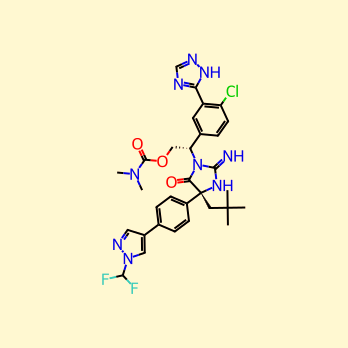 CN(C)C(=O)OC[C@H](c1ccc(Cl)c(-c2ncn[nH]2)c1)N1C(=N)N[C@](CC(C)(C)C)(c2ccc(-c3cnn(C(F)F)c3)cc2)C1=O